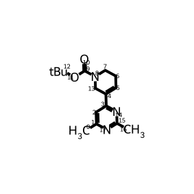 Cc1cc(C2=CCCN(C(=O)OC(C)(C)C)C2)nc(C)n1